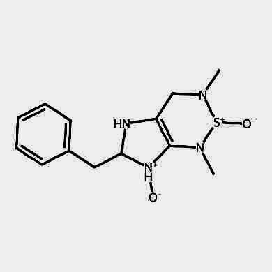 CN1CC2=C(N(C)[S+]1[O-])[NH+]([O-])C(Cc1ccccc1)N2